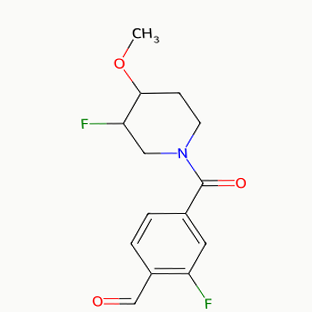 COC1CCN(C(=O)c2ccc(C=O)c(F)c2)CC1F